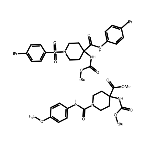 CC(C)c1ccc(NC(=O)C2(NC(=O)OC(C)(C)C)CCN(S(=O)(=O)c3ccc(C(C)C)cc3)CC2)cc1.COC(=O)C1(NC(=O)OC(C)(C)C)CCN(C(=O)Nc2ccc(OC(F)(F)F)cc2)CC1